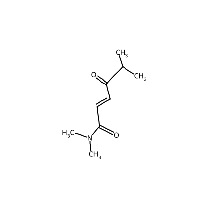 CC(C)C(=O)/C=C/C(=O)N(C)C